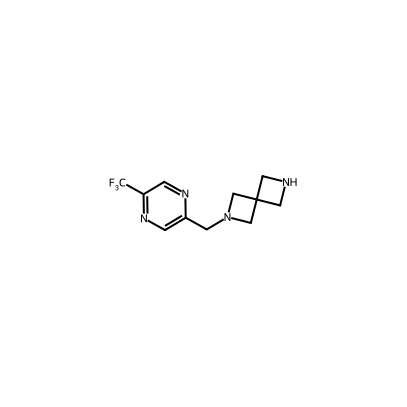 FC(F)(F)c1cnc(CN2CC3(CNC3)C2)cn1